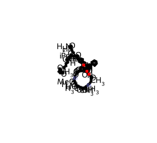 CO[C@H]1/C=C/O[C@@]2(C)Oc3cc(O)c4c(=O)c(c5oc6cc(N7CCCCC7)cc(OCc7ccc(NC(=O)[C@H](CCCNC(N)=O)NC(=O)[C@@H](NC(=O)CCCCCN8C(=O)C=CC8=O)C(C)C)cc7)c6nc-5c4c3C2=O)NC(=O)C(C)C/C=C/[C@H](C)[C@H](O)[C@@H](C)[C@@H](O)[C@@H](C)[C@H](O)[C@@H]1C